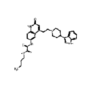 CCCCNC(=O)C(=O)Nc1ccc2[nH]c(=O)cc(CCN3CCC(c4c[nH]c5ccccc45)CC3)c2c1